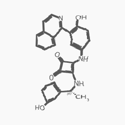 C[C@@H](Nc1c(Nc2ccc(O)c(-c3nccc4ccccc34)c2)c(=O)c1=O)c1cccc(O)c1